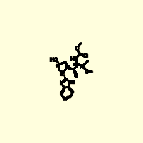 COC(=O)N[C@H](C(=O)N1C[C@@H](O)C[C@H]1c1nc2ccccc2[nH]1)[C@@H](C)OC